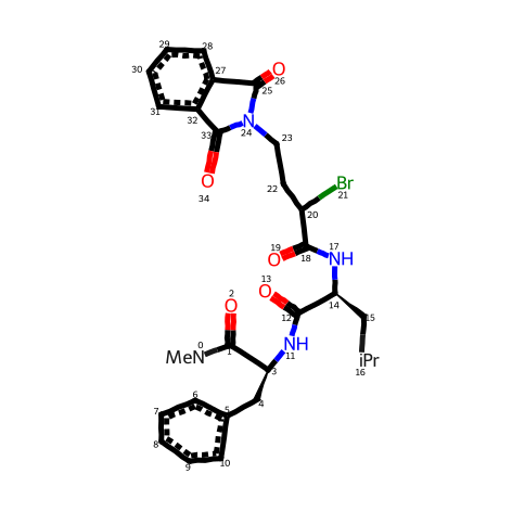 CNC(=O)[C@H](Cc1ccccc1)NC(=O)[C@H](CC(C)C)NC(=O)C(Br)CCN1C(=O)c2ccccc2C1=O